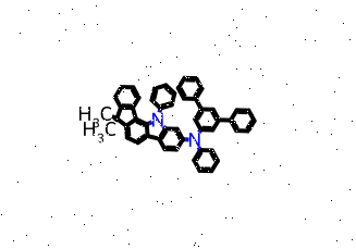 CC1(C)C2=C(C=CCC2)c2c1ccc1c3ccc(N(c4ccccc4)c4cc(-c5ccccc5)cc(-c5ccccc5)c4)cc3n(-c3ccccc3)c21